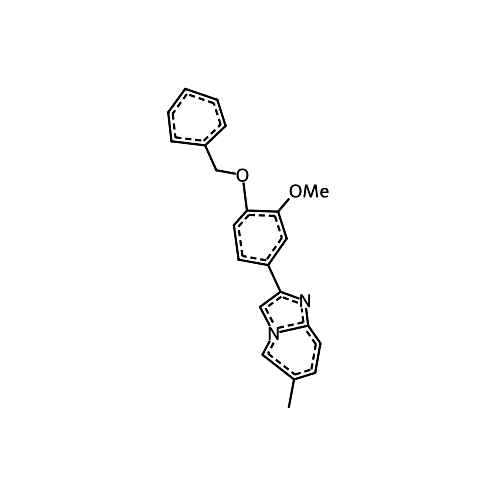 COc1cc(-c2cn3cc(C)ccc3n2)ccc1OCc1ccccc1